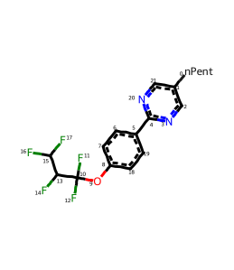 CCCCCc1cnc(-c2ccc(OC(F)(F)C(F)C(F)F)cc2)nc1